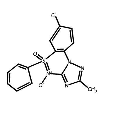 Cc1nc2n(n1)-c1ccc(Cl)cc1S(=O)(c1ccccc1)=[N+]2[O-]